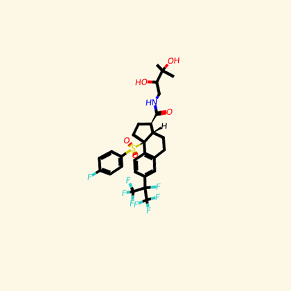 CC(C)(O)C(O)CNC(=O)[C@@H]1CC[C@@]2(S(=O)(=O)c3ccc(F)cc3)c3ccc(C(F)(C(F)(F)F)C(F)(F)F)cc3CC[C@@H]12